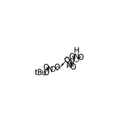 Cn1c(=O)n(C2CCC(=O)NC2=O)c2cccc(C#CCOC3(C)CCN(C(=O)OC(C)(C)C)CC3)c21